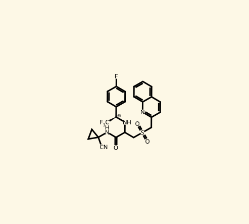 N#CC1(NC(=O)C(CS(=O)(=O)Cc2ccc3ccccc3n2)N[C@H](c2ccc(F)cc2)C(F)(F)F)CC1